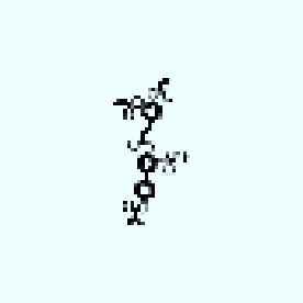 C=CC(=O)Oc1ccc(CCC(=O)Oc2ccc(-c3ccc(OC(=O)C(=C)C)cc3)cc2OC(=O)CC)cc1OC(=O)C=C